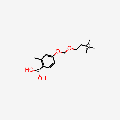 Cc1cc(OCOCC[Si](C)(C)C)ccc1B(O)O